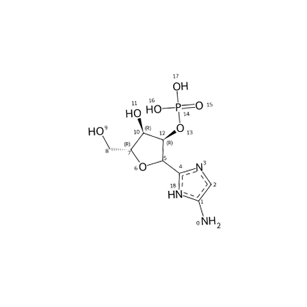 Nc1cnc(C2O[C@H](CO)[C@@H](O)[C@H]2OP(=O)(O)O)[nH]1